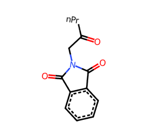 CCCC(=O)CN1C(=O)c2ccccc2C1=O